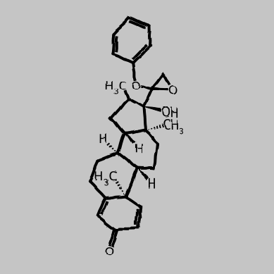 CC1C[C@H]2[C@@H]3CCC4=CC(=O)C=C[C@]4(C)[C@H]3CC[C@]2(C)[C@@]1(O)C1(Oc2ccccc2)CO1